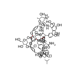 CN[C@H](CC(C)C)C(=O)N[C@H]1C(=O)N[C@@H](CC(N)=O)C(=O)N[C@H]2C(=O)N[C@H]3C(=O)N[C@H](C(=O)N[C@@H](C(=O)O)c4cc(O)cc(O)c4-c4cc3ccc4O)[C@H](OC3C[C@](C)(N)[C@@H](O)[C@H](C)O3)c3ccc(c(Cl)c3)Oc3cc2cc(c3O[C@@H]2O[C@H](CO)[C@@H](O)[C@H](O)[C@H]2OC2C[C@](C)(NCc3ccc(-c4ccc(Cl)cc4)cc3)[C@@H](O)[C@H](C)O2)Oc2ccc(cc2Cl)[C@H]1O